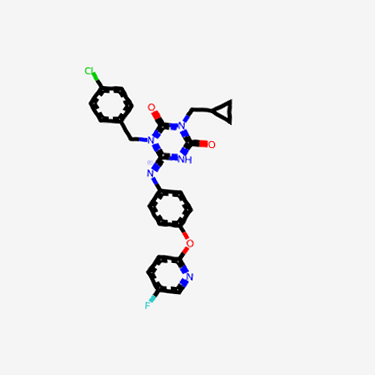 O=c1[nH]/c(=N\c2ccc(Oc3ccc(F)cn3)cc2)n(Cc2ccc(Cl)cc2)c(=O)n1CC1CC1